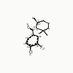 C[C@H]1CCCC(C)(C)[C@@H]1C(=O)c1ccc(Cl)c(F)c1